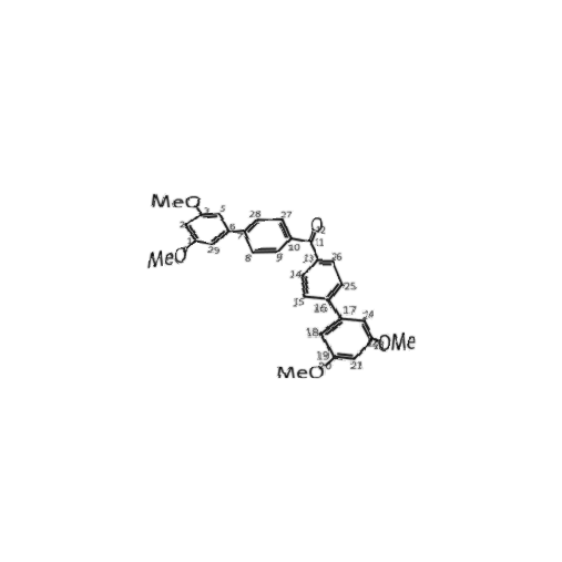 COc1cc(OC)cc(-c2ccc(C(=O)c3ccc(-c4cc(OC)cc(OC)c4)cc3)cc2)c1